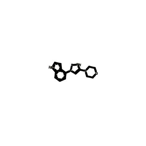 [C]1=C(N2CCOCC2)NSN1c1cccc2[nH]ccc12